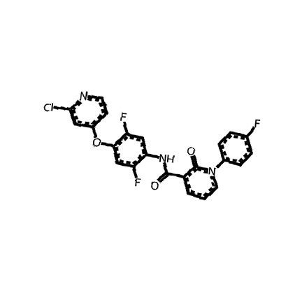 O=C(Nc1cc(F)c(Oc2ccnc(Cl)c2)cc1F)c1cccn(-c2ccc(F)cc2)c1=O